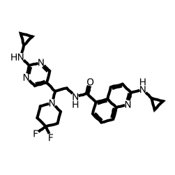 O=C(NCC(c1cnc(NC2CC2)nc1)N1CCC(F)(F)CC1)c1cccc2nc(NC3CC3)ccc12